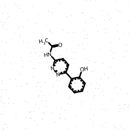 CC(=O)Nc1ccc(-c2ccccc2O)nn1